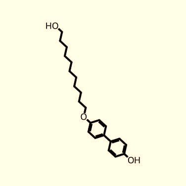 OCCCCCCCCCCCOc1ccc(-c2ccc(O)cc2)cc1